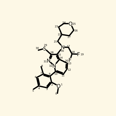 COc1cc(C)cc(C)c1-c1cccc2c(N(CC(F)F)CC3CCOCC3)c(SC)nn12